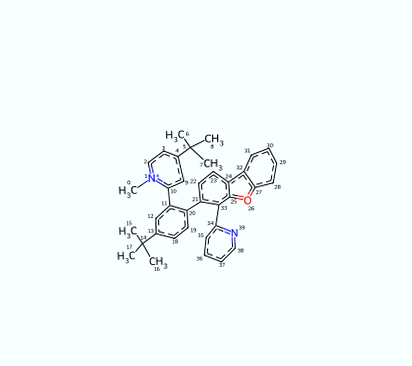 C[n+]1ccc(C(C)(C)C)cc1-c1cc(C(C)(C)C)ccc1-c1ccc2c(oc3ccccc32)c1-c1ccccn1